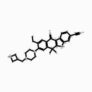 CCc1cc2c(cc1N1CCN(CC3CNC3)CC1)C(C)(C)c1[nH]c3cc(C#N)ccc3c1C2=O